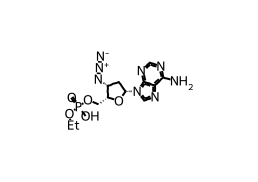 CCOP(=O)(O)OC[C@H]1O[C@@H](n2cnc3c(N)ncnc32)C[C@H]1N=[N+]=[N-]